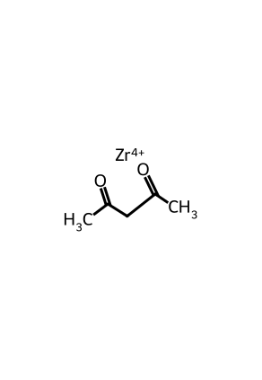 CC(=O)CC(C)=O.[Zr+4]